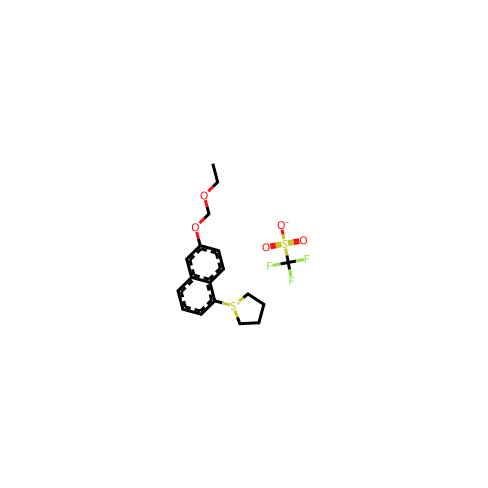 CCOCOc1ccc2c([S+]3CCCC3)cccc2c1.O=S(=O)([O-])C(F)(F)F